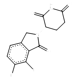 O=C1CC[C@H](N2Cc3ccc(F)c(I)c3C2=O)C(=O)N1